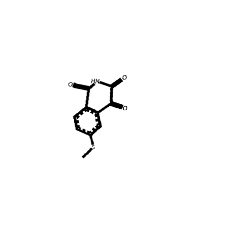 CSc1ccc2c(c1)C(=O)C(=O)NC2=O